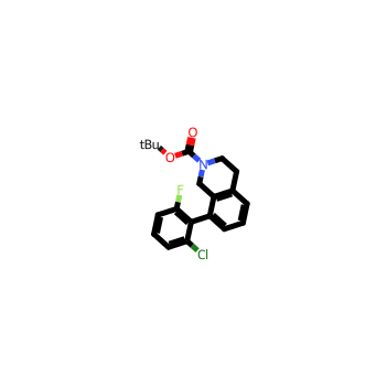 CC(C)(C)OC(=O)N1CCc2cccc(-c3c(F)cccc3Cl)c2C1